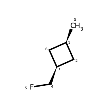 C[C@H]1C[C@@H](CF)C1